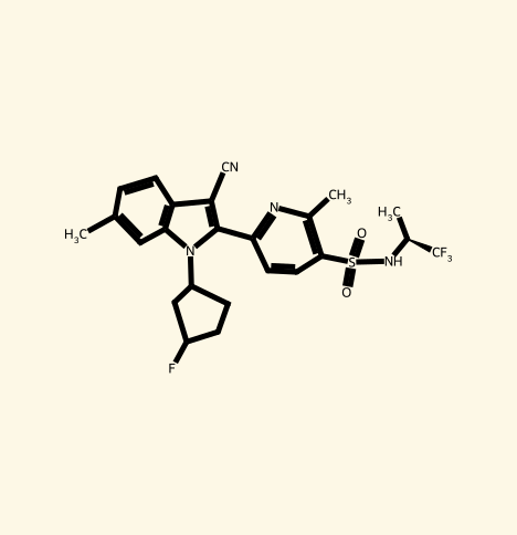 Cc1ccc2c(C#N)c(-c3ccc(S(=O)(=O)N[C@@H](C)C(F)(F)F)c(C)n3)n(C3CCC(F)C3)c2c1